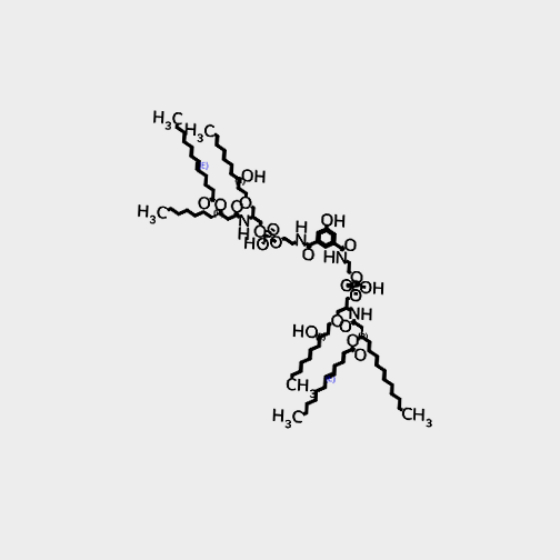 CCCCCC/C=C/CCCC(=O)O[C@H](CCCCCCC)CC(=O)NC(COCC[C@H](O)CCCCCCC)COP(=O)(O)OCCNC(=O)c1cc(O)cc(C(=O)NCCOP(=O)(O)OCC(COCC[C@H](O)CCCCCCC)NC(=O)C[C@@H](CCCCCCCCCCC)OC(=O)CCC/C=C/CCCCCC)c1